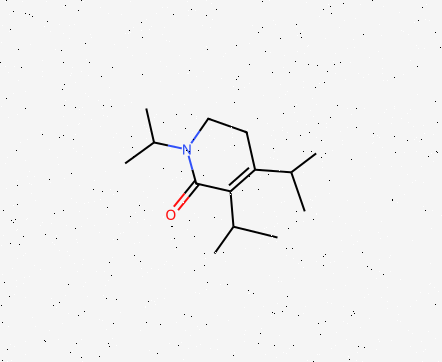 CC(C)C1=C(C(C)C)C(=O)N(C(C)C)CC1